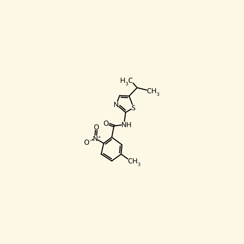 Cc1ccc([N+](=O)[O-])c(C(=O)Nc2ncc(C(C)C)s2)c1